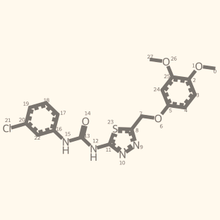 COc1ccc(OCc2nnc(NC(=O)Nc3cccc(Cl)c3)s2)cc1OC